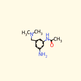 CC(=O)Nc1cc(N)cc(CN(C)C)c1